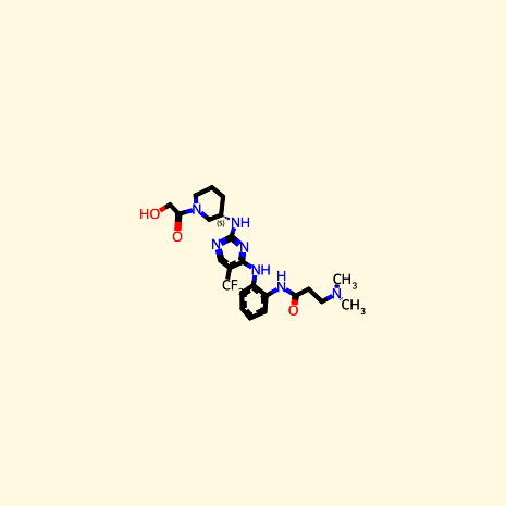 CN(C)CCC(=O)Nc1ccccc1Nc1nc(N[C@H]2CCCN(C(=O)CO)C2)ncc1C(F)(F)F